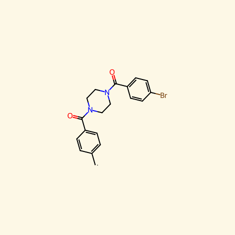 [CH2]c1ccc(C(=O)N2CCN(C(=O)c3ccc(Br)cc3)CC2)cc1